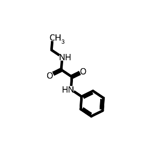 CCNC(=O)C(=O)Nc1ccccc1